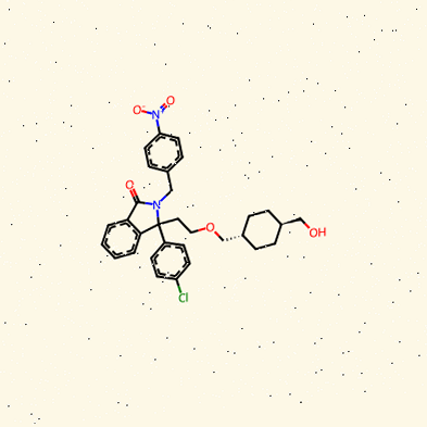 O=C1c2ccccc2C(CCOC[C@H]2CC[C@H](CO)CC2)(c2ccc(Cl)cc2)N1Cc1ccc([N+](=O)[O-])cc1